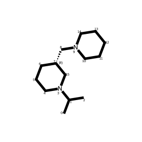 CC(C)N1CCC[C@H](CN2CCCCC2)C1